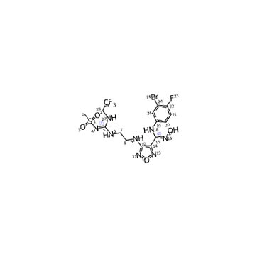 CS(=O)(=O)/N=C(/NCCNc1nonc1/C(=N/O)Nc1ccc(F)c(Br)c1)NCC(F)(F)F